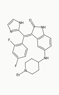 CCN1CCC(Nc2ccc3c(c2)/C(=C(/c2ncc[nH]2)c2ccc(F)cc2F)C(=O)N3)CC1